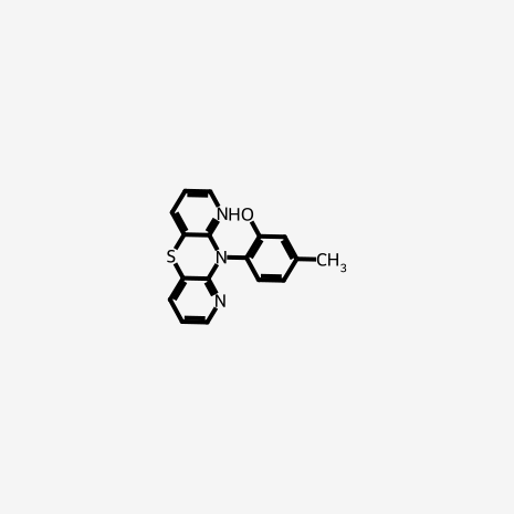 Cc1ccc(N2c3ncccc3Sc3cccnc32)c(O)c1